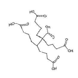 O=C(O)CCCC(CCCC(=O)O)C(CCCC(=O)O)(CCCC(=O)O)C(=O)O